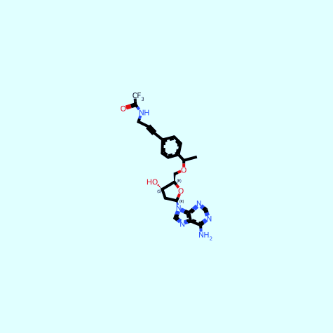 CC(OC[C@H]1O[C@@H](n2cnc3c(N)ncnc32)C[C@@H]1O)c1ccc(C#CCNC(=O)C(F)(F)F)cc1